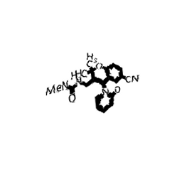 CNC(=O)NCC1=C(n2ccccc2=O)c2cc(C#N)ccc2OC1(C)C